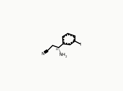 N#CC[C@@H](N)c1cccc(I)c1